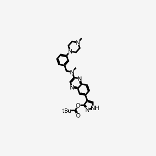 CN1CCN(c2cccc(CN(C)c3cnc4cc(-c5c[nH]nc5OC(=O)C(C)(C)C)ccc4n3)c2)CC1